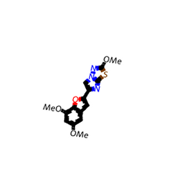 COc1cc(OC)c2oc(-c3cn4nc(OC)sc4n3)cc2c1